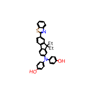 CCC1(CC)c2cc(-c3nc4ccccc4s3)ccc2-c2ccc(N(c3ccc(O)cc3)c3ccc(O)cc3)cc21